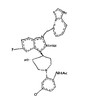 CC(=O)Nc1ccc(Cl)cc1N1CC[C@H](n2c(=N)n(Cc3cccc4[nH]cnc34)c3ccc(F)cc32)[C@@H](O)C1